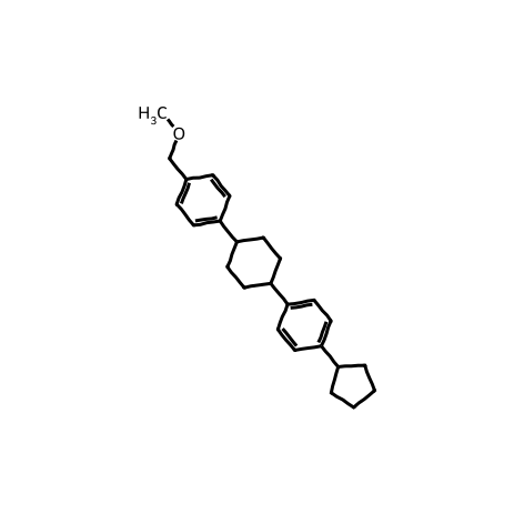 COCc1ccc(C2CCC(c3ccc(C4CCCC4)cc3)CC2)cc1